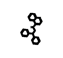 c1ccc(C(CNc2ccnc3ccccc23)c2ccccc2)cc1